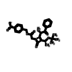 C[C@@H](O[Si](C)(C)C)[C@H]1C(=O)N(CC(=O)OCc2ccc([N+](=O)[O-])cc2)[C@@H]1[C@@H](C)C(=S)c1ccccc1